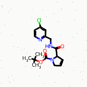 CC(C)(C)OC(=O)N1CC=CC1C(=O)NCc1cc(Cl)ccn1